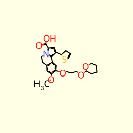 COc1cc2c(cc1OCCCOC1CCCCO1)-c1c(C3CC=CS3)cc(C(=O)O)n1CC2